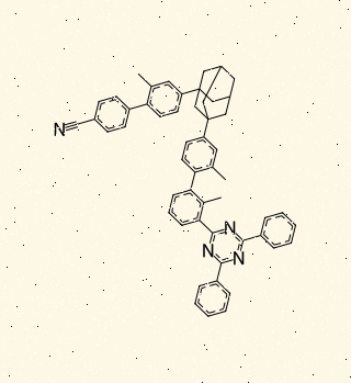 Cc1cc(C23CC4CC(C2)CC(c2ccc(-c5cccc(-c6nc(-c7ccccc7)nc(-c7ccccc7)n6)c5C)c(C)c2)(C4)C3)ccc1-c1ccc(C#N)cc1